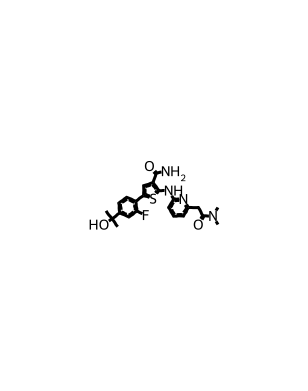 CN(C)C(=O)Cc1cccc(Nc2sc(-c3ccc(C(C)(C)O)cc3F)cc2C(N)=O)n1